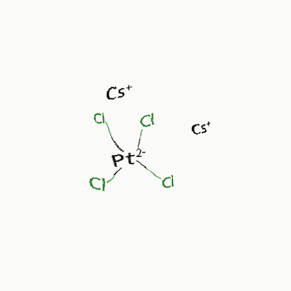 [Cl][Pt-2]([Cl])([Cl])[Cl].[Cs+].[Cs+]